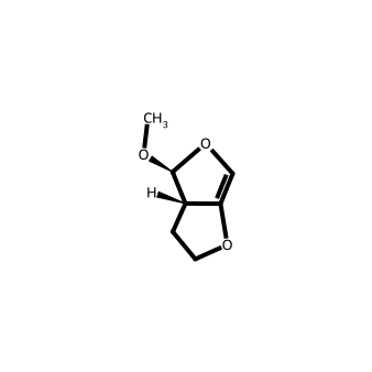 CO[C@H]1OC=C2OCC[C@@H]21